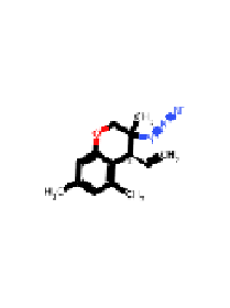 C=C[C@H]1c2c(C)cc(C)cc2OCC1(C)N=[N+]=[N-]